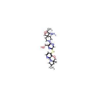 C[C@@H]1C[C@H]2COc3c(Sc4cnc(N5CCC6(CC5)CO[C@@H](C)[C@H]6N)c(CO)n4)ccnc3N2C1